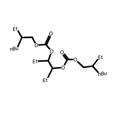 CCCCC(CC)COC(=O)OC(CC)C(CC)OC(=O)OCC(CC)CCCC